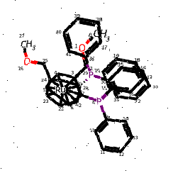 COC[C]12[CH]3[CH]4[CH]5[C]1(P(c1ccccc1)c1ccccc1)[Ru]43521678[CH]2[CH]1[C]6(COC)[C@@]7(P(c1ccccc1)c1ccccc1)[CH]28